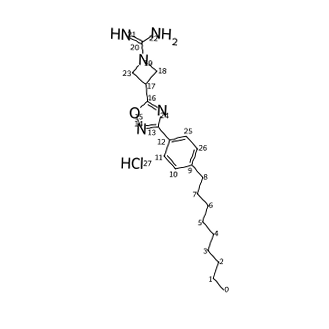 CCCCCCCCCc1ccc(-c2noc(C3CN(C(=N)N)C3)n2)cc1.Cl